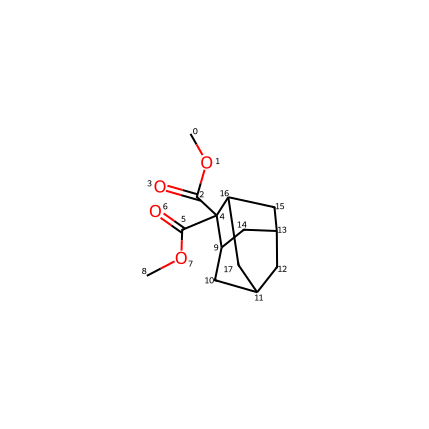 COC(=O)C1(C(=O)OC)C2CC3CC(C2)CC1C3